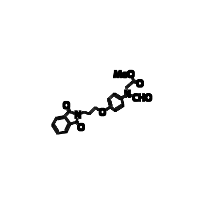 COC(=O)CN(C=O)c1ccc(OCCCN2C(=O)c3ccccc3C2=O)cc1